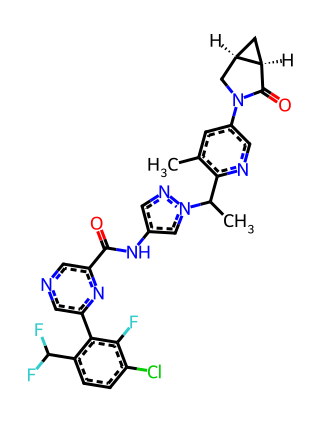 Cc1cc(N2C[C@H]3C[C@H]3C2=O)cnc1C(C)n1cc(NC(=O)c2cncc(-c3c(C(F)F)ccc(Cl)c3F)n2)cn1